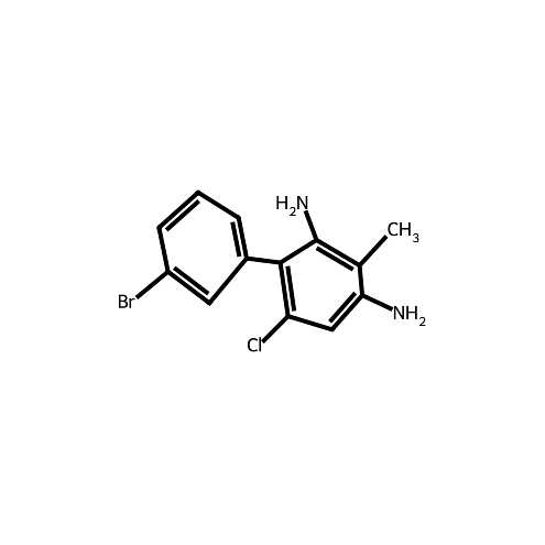 Cc1c(N)cc(Cl)c(-c2cccc(Br)c2)c1N